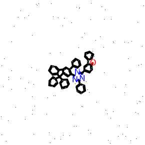 c1ccc(-c2nc(-c3ccc4oc5ccccc5c4c3)nc(-c3cc4c(cc3-c3ccccc3)-c3ccccc3C4(c3ccccc3)c3ccccc3)n2)cc1